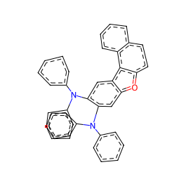 c1ccc(N(c2ccccc2)c2cc3oc4ccc5ccccc5c4c3cc2N(c2ccccc2)c2ccccc2)cc1